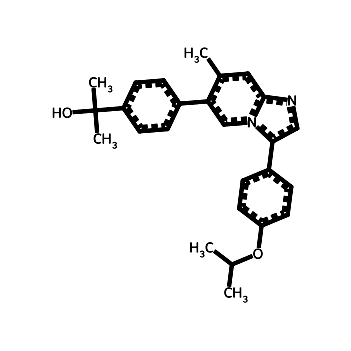 Cc1cc2ncc(-c3ccc(OC(C)C)cc3)n2cc1-c1ccc(C(C)(C)O)cc1